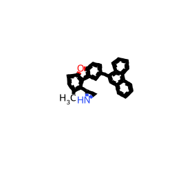 Cc1ccc2oc3ccc(-c4cc5ccccc5c5ccccc45)cc3c2c1C1CN1